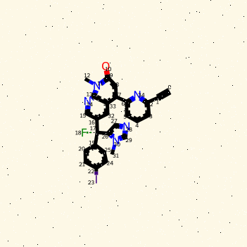 C#Cc1cccc(-c2cc(=O)n(C)c3ncc([C@](F)(c4ccc(I)cc4)c4cncn4C)cc23)n1